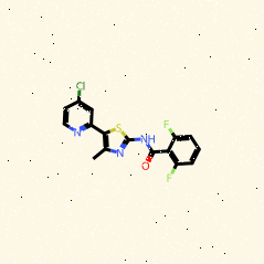 Cc1nc(NC(=O)c2c(F)cccc2F)sc1-c1cc(Cl)ccn1